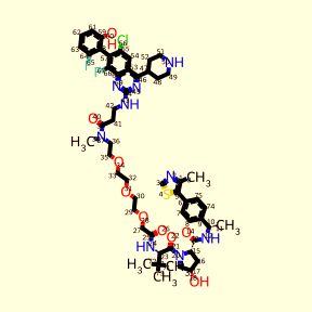 Cc1ncsc1-c1ccc([C@H](C)NC(=O)[C@@H]2C[C@@H](O)CN2C(=O)[C@@H](NC(=O)COCCOCCOCCN(C)C(=O)CCNc2nc(C3CCNCC3)c3cc(Cl)c(-c4c(O)cccc4F)c(F)c3n2)C(C)(C)C)cc1